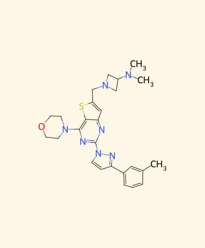 Cc1cccc(-c2ccn(-c3nc(N4CCOCC4)c4sc(CN5CC(N(C)C)C5)cc4n3)n2)c1